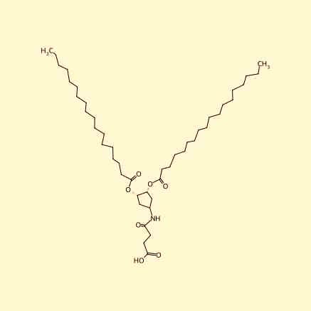 CCCCCCCCCCCCCCCCCC(=O)O[C@H]1CC(NC(=O)CCC(=O)O)C[C@H]1OC(=O)CCCCCCCCCCCCCCCCC